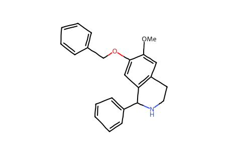 COc1cc2c(cc1OCc1ccccc1)C(c1ccccc1)NCC2